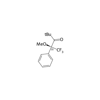 CO[C@](C(=O)C(C)(C)C)(c1ccccc1)C(F)(F)F